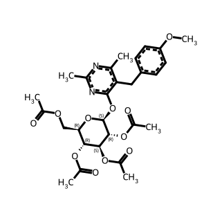 COc1ccc(Cc2c(C)nc(C)nc2O[C@@H]2O[C@H](COC(C)=O)[C@@H](OC(C)=O)[C@H](OC(C)=O)[C@H]2OC(C)=O)cc1